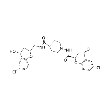 O=C(NCC1CC(O)c2cc(Cl)ccc2O1)C1CCN(NC(=O)[C@H]2C[C@@H](O)c3cc(Cl)ccc3O2)CC1